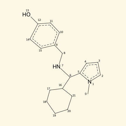 Cn1cccc1C(NCc1ccc(O)cc1)C1CCCCC1